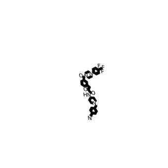 N#Cc1ccc(CN2CCC(NC(=O)c3cc4cc(C(=O)N5CCN(c6ccc(C(F)(F)F)cc6)CC5)ccc4o3)CC2)cc1